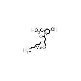 C=CCCCC[C@@H](COC)CC(=O)N1C[C@H](O)C[C@H]1C(=O)O